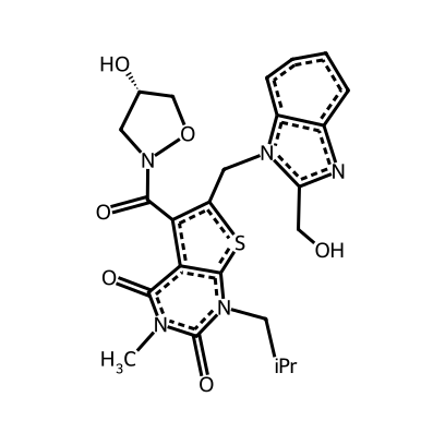 CC(C)Cn1c(=O)n(C)c(=O)c2c(C(=O)N3C[C@H](O)CO3)c(Cn3c(CO)nc4ccccc43)sc21